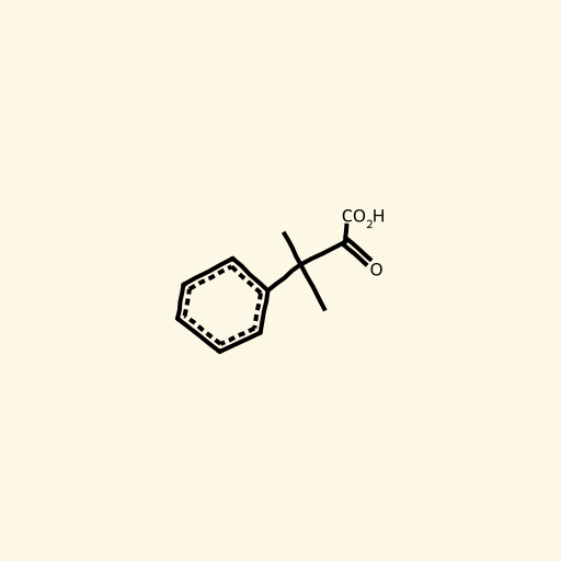 CC(C)(C(=O)C(=O)O)c1ccccc1